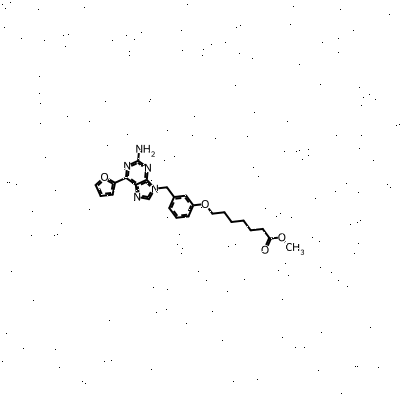 COC(=O)CCCCCCOc1cccc(Cn2cnc3c(-c4ccco4)nc(N)nc32)c1